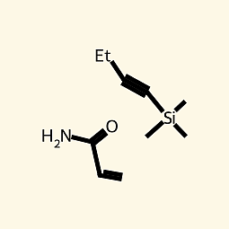 C=CC(N)=O.CCC#C[Si](C)(C)C